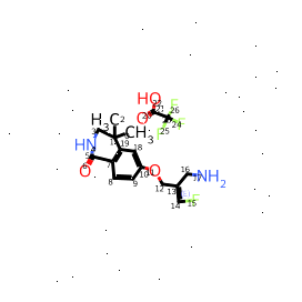 CC1(C)CNC(=O)c2ccc(OC/C(=C/F)CN)cc21.O=C(O)C(F)(F)F